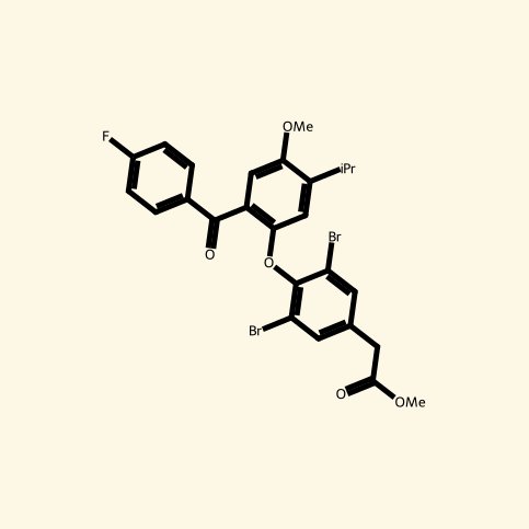 COC(=O)Cc1cc(Br)c(Oc2cc(C(C)C)c(OC)cc2C(=O)c2ccc(F)cc2)c(Br)c1